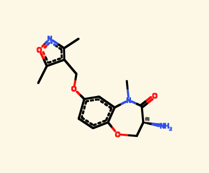 Cc1noc(C)c1COc1ccc2c(c1)N(C)C(=O)[C@@H](N)CO2